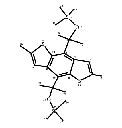 Cc1cc2c(C(C)(C)O[Si](C)(C)C)c3sc(C)cc3c(C(C)(C)O[Si](C)(C)C)c2s1